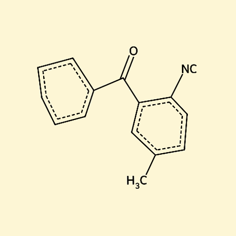 [C-]#[N+]c1ccc(C)cc1C(=O)c1ccccc1